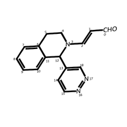 O=CC=CN1CCc2ccccc2C1c1ccnnc1